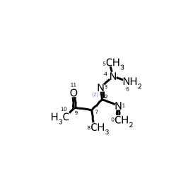 C=N/C(=N\N(C)N)C(C)C(C)=O